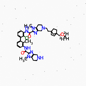 [2H]C([2H])([2H])OCC12CCC(CCN3CCc4c(nc(C(=O)Nc5cccc(-c6cccc(NC(=O)c7nc8c(n7C)CCNC8)c6C)c5Cl)n4C)C3)(CC1)C2